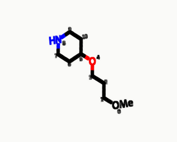 COCCCOC1CCNCC1